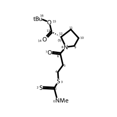 CNC(=S)SCCC(=O)N1CCC[C@H]1C(=O)OC(C)(C)C